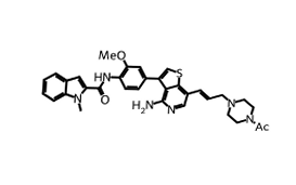 COc1cc(-c2csc3c(C=CCN4CCN(C(C)=O)CC4)cnc(N)c23)ccc1NC(=O)c1cc2ccccc2n1C